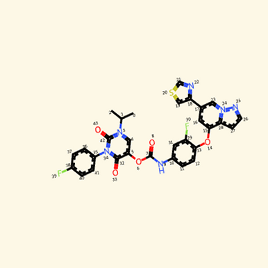 CC(C)n1cc(OC(=O)Nc2ccc(Oc3cc(-c4cscn4)cn4nccc34)c(F)c2)c(=O)n(-c2ccc(F)cc2)c1=O